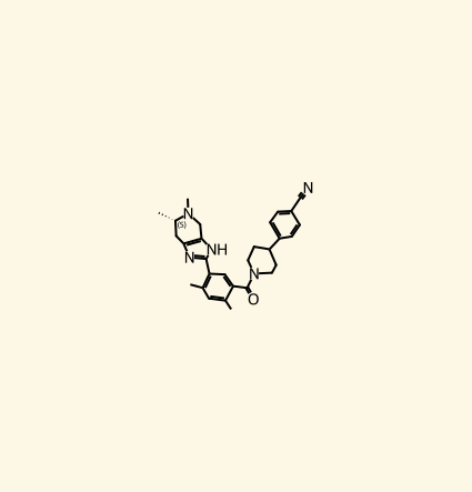 Cc1cc(C)c(-c2nc3c([nH]2)CN(C)[C@@H](C)C3)cc1C(=O)N1CCC(c2ccc(C#N)cc2)CC1